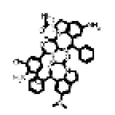 CN(C)c1cc2c3c(c1)C(c1ccccc1)=N[C@H](N(C(=O)c1cc(Cl)c(N)c(Cl)c1)C1N=C(c4ccccc4)c4cc(N)cc5c4N(C1=O)[C@H](C(N)=O)C5)C(=O)N3CC2